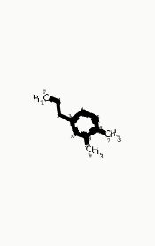 CCCc1ccc(C)c(C)c1